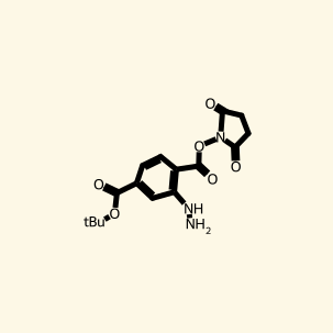 CC(C)(C)OC(=O)c1ccc(C(=O)ON2C(=O)CCC2=O)c(NN)c1